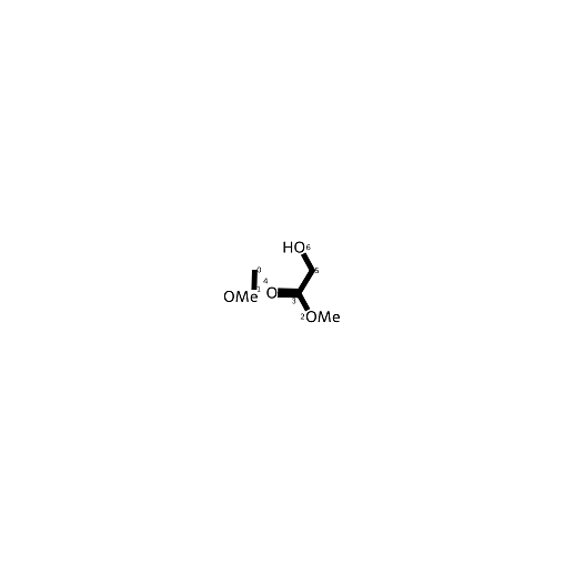 COC.COC(=O)CO